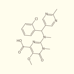 COc1c(C(=O)O)nc(N(C)C(c2cnc(C)nc2)c2ccccc2Cl)n(C)c1=O